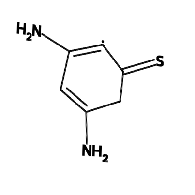 NC1=[C]C(=S)CC(N)=C1